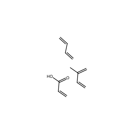 C=CC(=C)C.C=CC(=O)O.C=CC=C